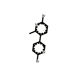 Cc1nc(Br)ccc1-c1ccc(Br)nc1